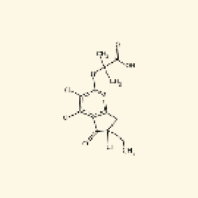 CCC1(Cl)Cc2cc(OC(C)(C)C(=O)O)c(Cl)c(Cl)c2C1=O